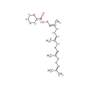 CC(C)=CCC/C(C)=C/CC/C(C)=C/CC/C(C)=C/COC(=O)C1CCCCC1